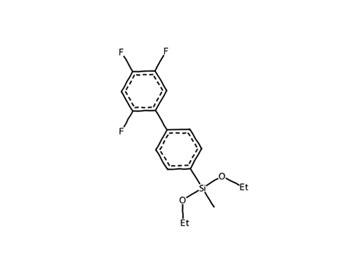 CCO[Si](C)(OCC)c1ccc(-c2cc(F)c(F)cc2F)cc1